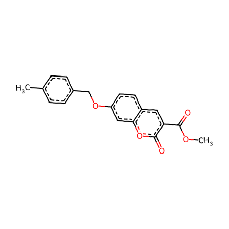 COC(=O)c1cc2ccc(OCc3ccc(C)cc3)cc2oc1=O